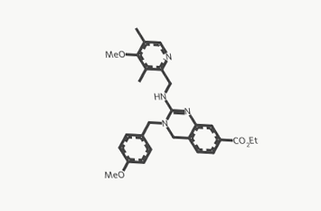 CCOC(=O)c1ccc2c(c1)N=C(NCc1ncc(C)c(OC)c1C)N(Cc1ccc(OC)cc1)C2